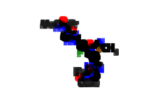 COC(=O)NC(C(=O)N1CCC[C@H]1c1ncc(-c2cc(F)c3c(c2)OC(c2cnc(C)s2)n2c-3cc3cc(-c4cnc([C@@H]5CCCN5C(=O)C(NC(=O)OC)C(C)C)[nH]4)ccc32)[nH]1)C(C)C